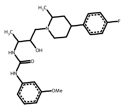 COc1cccc(NC(=O)NC(C)C(O)CN2CCC(c3ccc(F)cc3)CC2C)c1